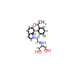 CC(Oc1ccc2ccn(CCNC(CO)CO)c2c1)c1ccc(F)cc1